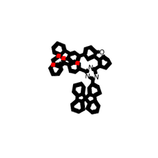 c1ccc(-c2ccc(-c3nc(-c4ccc5c(c4)C4(c6ccccc6-c6ccccc64)c4ccccc4-5)nc(-c4cccc5oc6ccc(-c7ccc8c(c7)c7ccccc7n8-c7ccccc7)cc6c45)n3)cc2)cc1